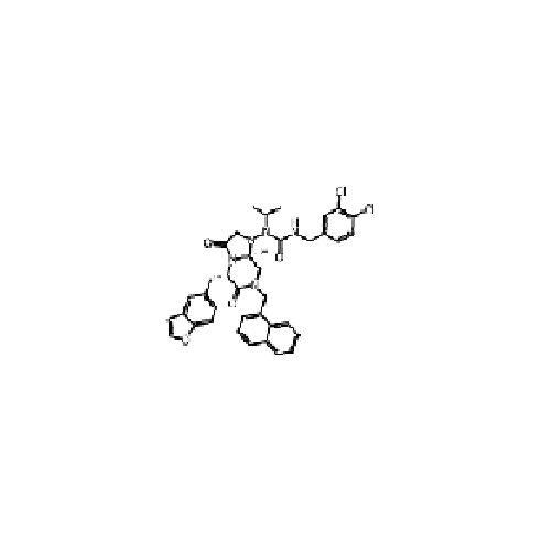 CC(C)N(C(=O)NCc1ccc(Cl)c(Cl)c1)N1CC(=O)N2[C@@H](Cc3ccc4occc4c3)C(=O)N(Cc3cccc4ccccc34)C[C@@H]21